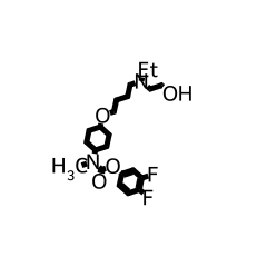 CCN(CCO)CCCCOC1CCC(N(C)C(=O)Oc2ccc(F)c(F)c2)CC1